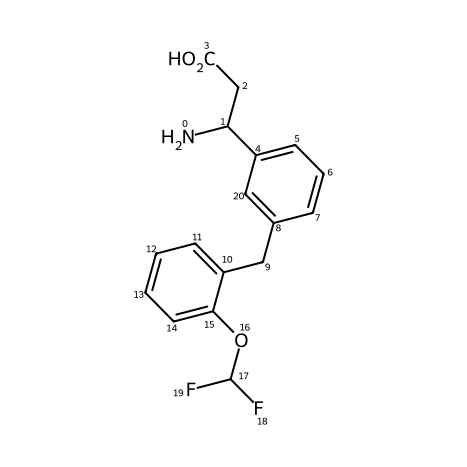 NC(CC(=O)O)c1cccc(Cc2ccccc2OC(F)F)c1